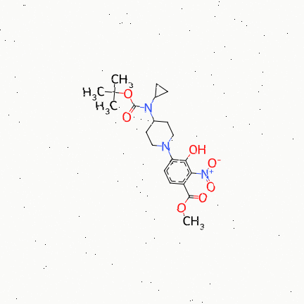 COC(=O)c1ccc(N2CCC(N(C(=O)OC(C)(C)C)C3CC3)CC2)c(O)c1[N+](=O)[O-]